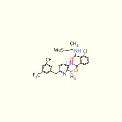 CSC[C@H](C)NC(=O)c1c(Cl)cccc1C(=O)Nc1ccc(Cc2cc(C(F)(F)F)cc(C(F)(F)F)c2)nc1C